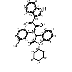 O=C(C(=O)N(c1cccc(F)c1)C1C(=O)N(C2CCCCC2)c2ccccc21)c1c[nH]c2ccncc12